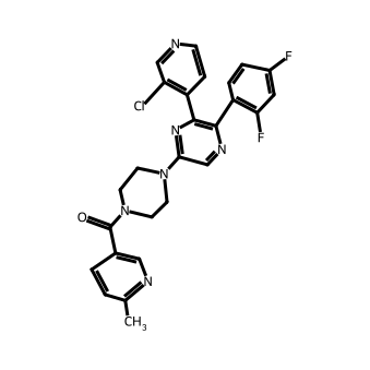 Cc1ccc(C(=O)N2CCN(c3cnc(-c4ccc(F)cc4F)c(-c4ccncc4Cl)n3)CC2)cn1